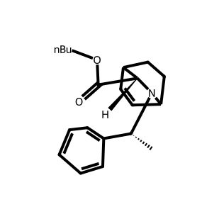 CCCCOC(=O)[C@@H]1C2C=CC(CC2)N1[C@H](C)c1ccccc1